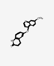 COc1ccc2c(Oc3ccc4c(c3)CCC(=O)N4)ccnc2c1